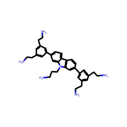 NCCCn1c2cc(-c3cc(CCN)cc(CCN)c3)ccc2c2ccc(-c3cc(CCN)cc(CCN)c3)cc21